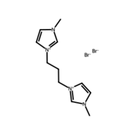 Cn1cc[n+](CCC[n+]2ccn(C)c2)c1.[Br-].[Br-]